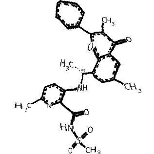 Cc1cc([C@@H](C)Nc2ccc(C)nc2C(=O)NS(C)(=O)=O)c2oc(-c3ccccc3)c(C)c(=O)c2c1